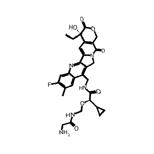 CC[C@@]1(O)C(=O)OCc2c1cc1n(c2=O)Cc2c-1nc1cc(F)c(C)cc1c2CNC(=O)[C@H](OCNC(=O)CN)C1CC1